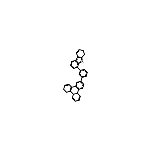 C1=CC2C3=C(C=CCC3)c3cc(-c4cccc(-c5cccc6c7c(sc56)CCC=C7)c4)ccc3C2C=C1